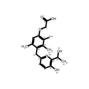 Cc1cc(OCC(=O)O)c(F)c(C)c1Cc1ccc(O)c(C(C)O)n1